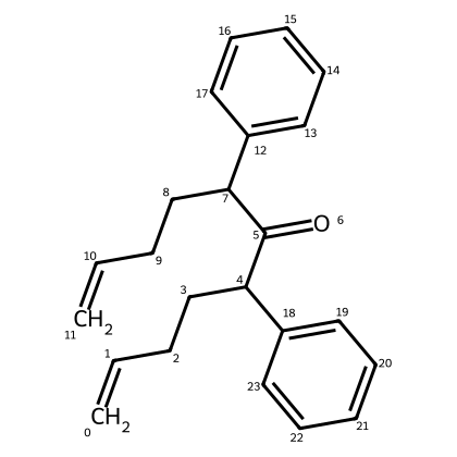 C=CCCC(C(=O)C(CCC=C)c1ccccc1)c1ccccc1